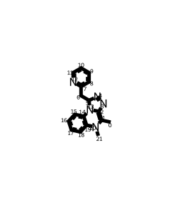 CC1=C2N=NC(Cc3ccccn3)N2c2ccccc2N1C